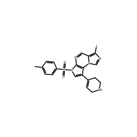 Cc1ccc(S(=O)(=O)n2cc(C3=CCNCC3)c3c2ncc2c(I)ncn23)cc1